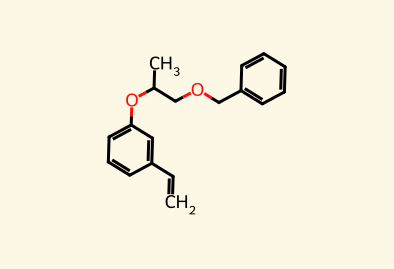 C=Cc1cccc(OC(C)COCc2ccccc2)c1